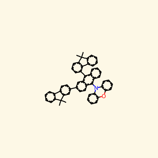 CC1(C)c2ccccc2-c2ccc(-c3ccc4c(N5c6ccccc6Oc6ccccc65)c5ccccc5c(-c5cccc6c5-c5ccccc5C6(C)C)c4c3)cc21